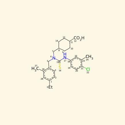 CCc1ccc(CN(CC2CCC(C(=O)O)CC2)C(=S)Nc2ccc(Cl)c(C)c2)c(C)c1